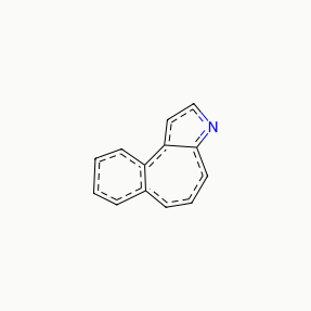 c1ccc2c3ccnc-3cccc2c1